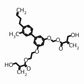 C=CCCc1ccc(-c2cc(OCCOC(=O)C(=C)CO)cc(OCOC(=O)C(=C)CO)c2)cc1C